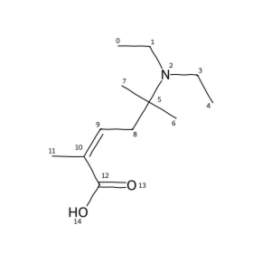 CCN(CC)C(C)(C)CC=C(C)C(=O)O